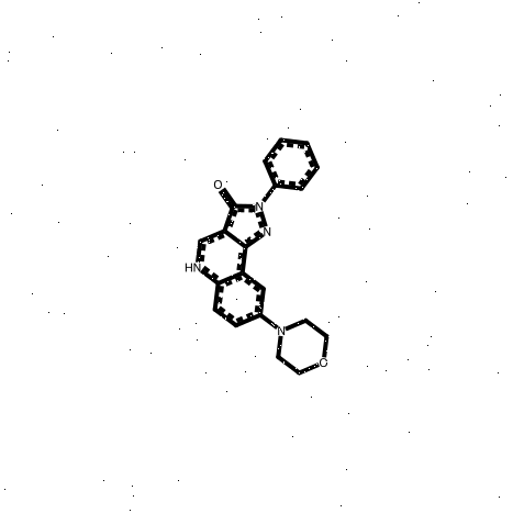 O=c1c2c[nH]c3ccc(N4CCOCC4)cc3c-2nn1-c1ccccc1